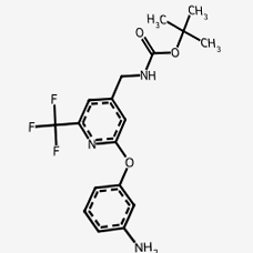 CC(C)(C)OC(=O)NCc1cc(Oc2cccc(N)c2)nc(C(F)(F)F)c1